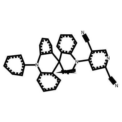 N#Cc1cc(N2c3ccccc3C3(c4ccccc4N(c4ccccc4)c4ccccc43)c3ccccc32)c(C#N)cn1